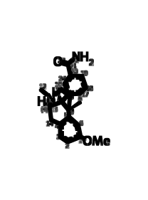 COc1ccc2c(c1)[C@@]1(C)CCN(C)[C@H](C2)[C@@H]1c1cccc(C(N)=O)c1